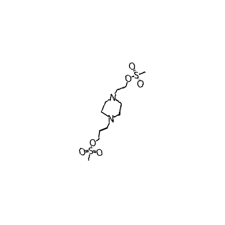 CS(=O)(=O)OCCCN1CCN(CCOS(C)(=O)=O)CC1